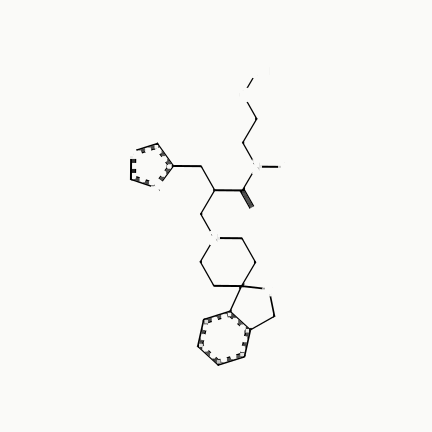 COCCN(C)C(=O)C(Cc1cscn1)CN1CCC2(CC1)OCc1ccccc12